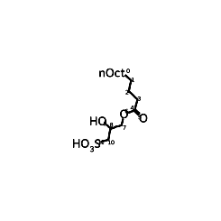 CCCCCCCCCCCC(=O)OCC(O)CS(=O)(=O)O